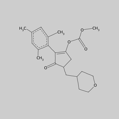 COC(=O)OC1=C(c2c(C)cc(C)cc2C)C(=O)C(CC2CCOCC2)C1